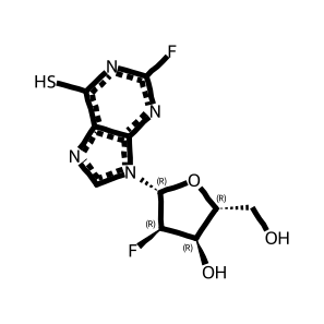 OC[C@H]1O[C@@H](n2cnc3c(S)nc(F)nc32)[C@H](F)[C@@H]1O